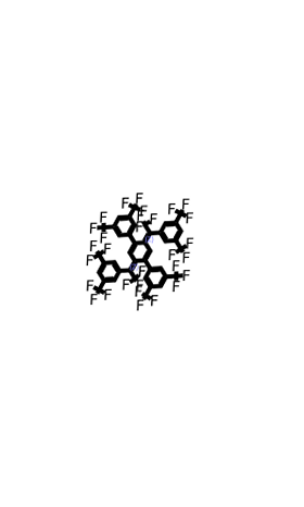 FC(F)(F)/C(c1cc(C(F)(F)F)cc(C(F)(F)F)c1)=c1/cc(-c2cc(C(F)(F)F)cc(C(F)(F)F)c2)/c(=C(/c2cc(C(F)(F)F)cc(C(F)(F)F)c2)C(F)(F)F)cc1-c1cc(C(F)(F)F)cc(C(F)(F)F)c1